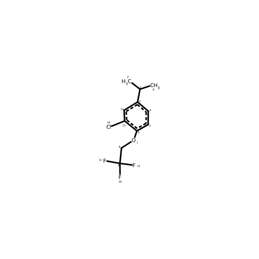 CC(C)c1ccc(OCC(F)(F)F)c(Cl)c1